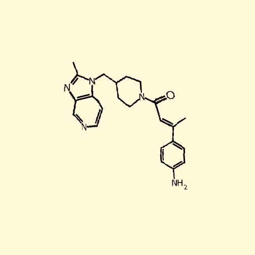 C/C(=C\C(=O)N1CCC(Cn2c(C)nc3cnccc32)CC1)c1ccc(N)cc1